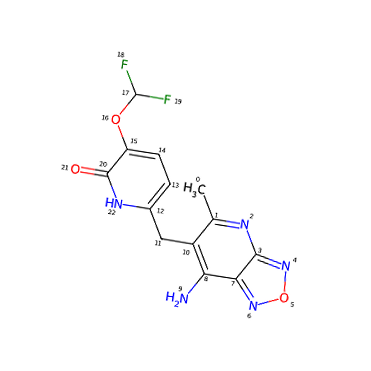 Cc1nc2nonc2c(N)c1Cc1ccc(OC(F)F)c(=O)[nH]1